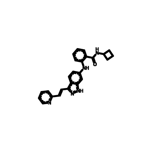 O=C(NC1CCC1)c1ccccc1Nc1ccc2c(C=Cc3ccccn3)n[nH]c2c1